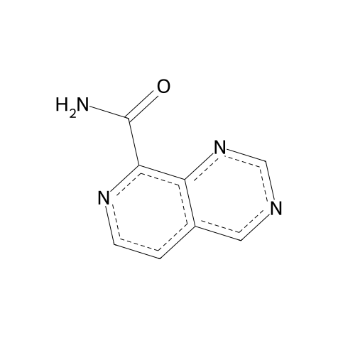 NC(=O)c1nccc2cncnc12